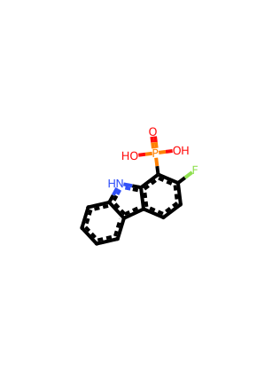 O=P(O)(O)c1c(F)ccc2c1[nH]c1ccccc12